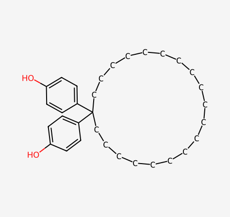 Oc1ccc(C2(c3ccc(O)cc3)CCCCCCCCCCCCCCCCCCC2)cc1